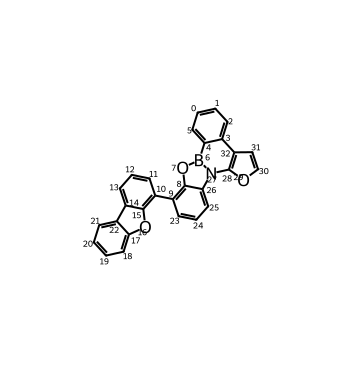 c1ccc2c(c1)B1Oc3c(-c4cccc5c4oc4ccccc45)cccc3N1c1occc1-2